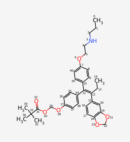 CCCNCCOc1ccc(C(=C(CC)c2ccc3c(c2)OCO3)c2ccc(OCOC(=O)C(C)(C)C)cc2)cc1